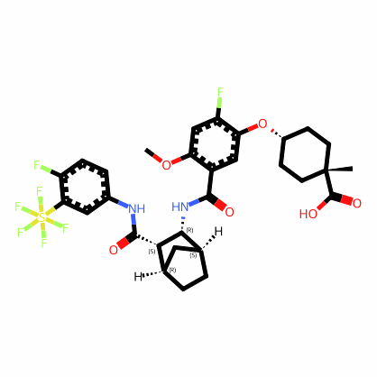 COc1cc(F)c(O[C@H]2CC[C@@](C)(C(=O)O)CC2)cc1C(=O)N[C@@H]1[C@H]2CC[C@H](C2)[C@@H]1C(=O)Nc1ccc(F)c(S(F)(F)(F)(F)F)c1